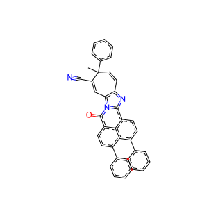 CC1(c2ccccc2)C=Cc2nc3c4ccc(-c5ccccc5)c5c(-c6ccccc6)ccc(c(=O)n3c2C=C1C#N)c54